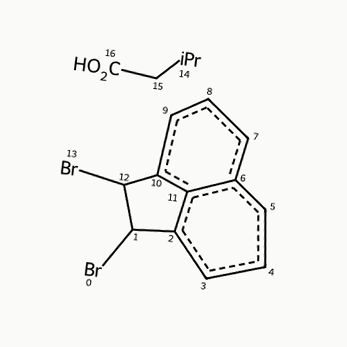 BrC1c2cccc3cccc(c23)C1Br.CC(C)CC(=O)O